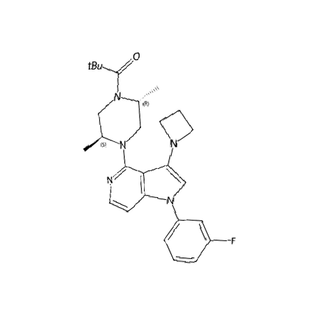 C[C@@H]1CN(c2nccc3c2c(N2CCC2)cn3-c2cccc(F)c2)[C@@H](C)CN1C(=O)C(C)(C)C